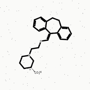 O=C(O)[C@@H]1CCCN(CCOC=C2c3ccccc3CCc3ccccc32)C1